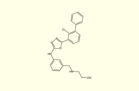 OCCNCc1cccc(Nc2nnc(-c3cccc(-c4ccccc4)c3Cl)o2)c1